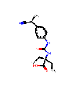 CCC(CC)(NC(=O)Nc1ccc(C(C)C#N)cc1)C(=O)O